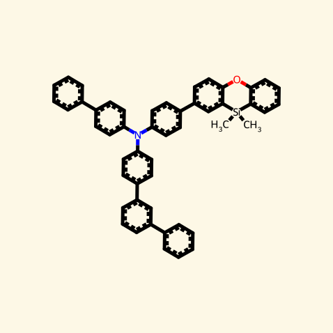 C[Si]1(C)c2ccccc2Oc2ccc(-c3ccc(N(c4ccc(-c5ccccc5)cc4)c4ccc(-c5cccc(-c6ccccc6)c5)cc4)cc3)cc21